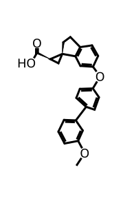 COc1cccc(-c2ccc(Oc3ccc4c(c3)[C@]3(CC4)C[C@H]3C(=O)O)cc2)c1